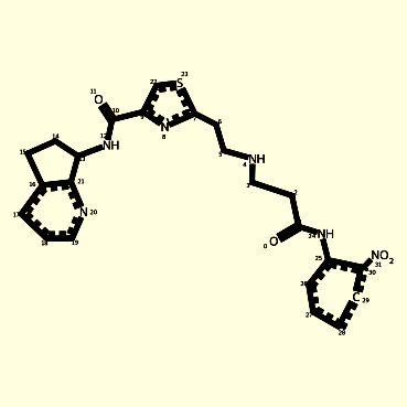 O=C(CCNCCc1nc(C(=O)NC2CCc3cccnc32)cs1)Nc1ccccc1[N+](=O)[O-]